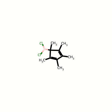 CC1=C(C)C(C)(B(Cl)Cl)C(C)=C1C